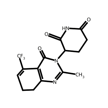 Cc1nc2c(c(=O)n1C1CCC(=O)NC1=O)C(C(F)(F)F)=CCC2